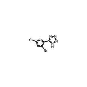 Clc1cc(Br)c(-c2nnn[nH]2)s1